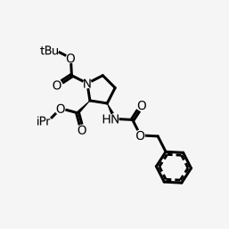 CC(C)OC(=O)[C@@H]1[C@H](NC(=O)OCc2ccccc2)CCN1C(=O)OC(C)(C)C